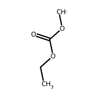 [CH]OC(=O)OCC